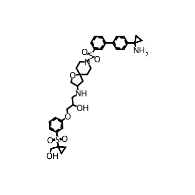 NC1(c2ccc(-c3cccc(S(=O)(=O)N4CCC5(CC4)CC(NCC(O)COc4cccc(S(=O)(=O)C6(CO)CC6)c4)CO5)c3)cc2)CC1